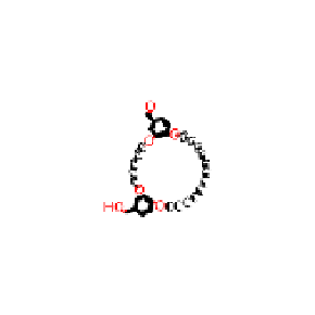 O=Cc1ccc2c(c1)OCCCCCOc1cc(CO)ccc1OCCCCCCCCCCCCO2